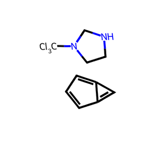 ClC(Cl)(Cl)N1CCNC1.c1cc2cc-2c1